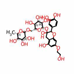 C[C@@H]1O[C@@H](OC[C@H]2O[C@@H](OC3(O)Cc4c(O)cc(OCCO)cc4OC3c3ccc(O)c(O)c3)[C@H](O)[C@@H](O)[C@@H]2O)[C@H](O)[C@H](O)[C@H]1O